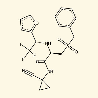 N#CC1(NC(=O)[C@H](CS(=O)(=O)Cc2ccccc2)N[C@@H](c2ccco2)C(F)(F)F)CC1